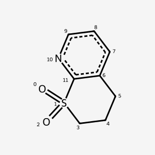 O=S1(=O)CCCc2cccnc21